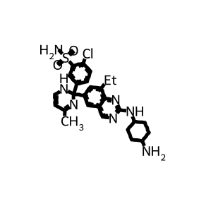 CCc1cc(C2(c3ccc(Cl)c(S(N)(=O)=O)c3)N=C(C)C=CN2)cc2cnc(NC3CCC(N)CC3)nc12